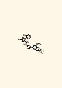 COc1cc(-c2csc(NC(=O)c3cc(Br)nn3-c3ncccc3Cl)n2)cc2c1OC(C)(C)C2